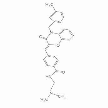 Cc1cccc(CN2C(=O)/C(=C/c3ccc(C(=O)NCCN(C)C)cc3)Oc3ccccc32)c1